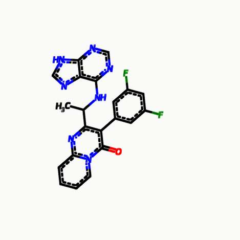 CC(Nc1ncnc2[nH]cnc12)c1nc2ccccn2c(=O)c1-c1cc(F)cc(F)c1